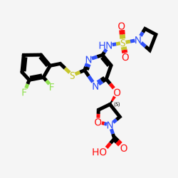 O=C(O)N1C[C@H](Oc2cc(NS(=O)(=O)N3CCC3)nc(SCc3cccc(F)c3F)n2)CO1